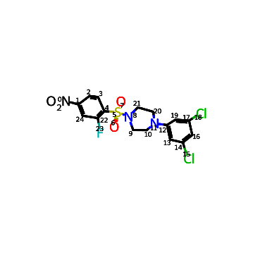 O=[N+]([O-])c1ccc(S(=O)(=O)N2CCN(c3cc(Cl)cc(Cl)c3)CC2)c(F)c1